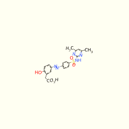 Cc1cc(C)nc(NS(=O)(=O)c2ccc(N=Nc3ccc(O)c(CC(=O)O)c3)cc2)n1